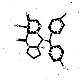 O=C1c2c(O)c(=O)cnn2[C@@H](C(c2ccc(F)cc2)c2ccc(C(F)(F)F)cc2)[C@H]2CCCN12